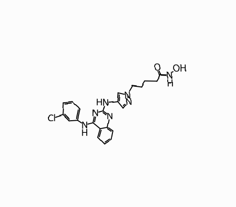 O=C(CCCCn1cc(Nc2nc(Nc3cccc(Cl)c3)c3ccccc3n2)cn1)NO